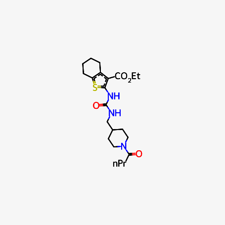 CCCC(=O)N1CCC(CNC(=O)Nc2sc3c(c2C(=O)OCC)CCCC3)CC1